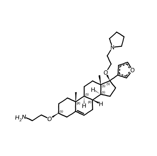 C[C@]12CC[C@H](OCCN)CC1=CC[C@@H]1[C@@H]2CC[C@@]2(C)[C@H]1CC[C@@]2(OCCN1CCCC1)c1ccoc1